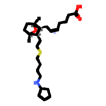 O=C(O)CCC/C=C\C[C@@H]1[C@H](CCSCCCCNC2CCCC2)[C@@H]2CC[C@H]1O2